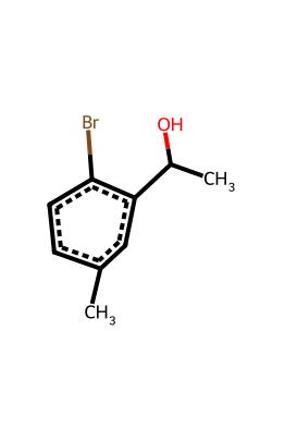 Cc1ccc(Br)c(C(C)O)c1